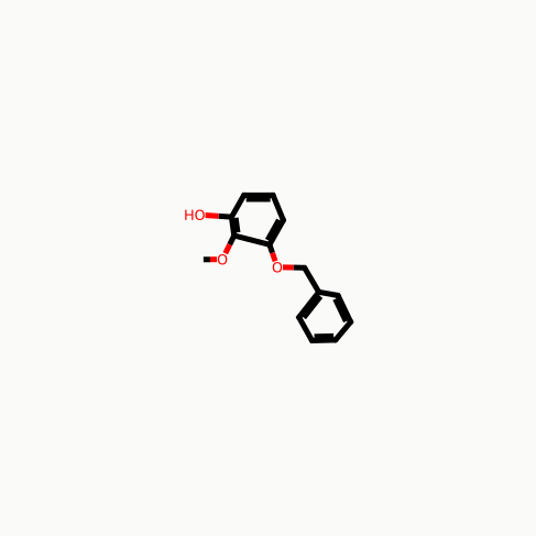 COc1c(O)cccc1OCc1ccccc1